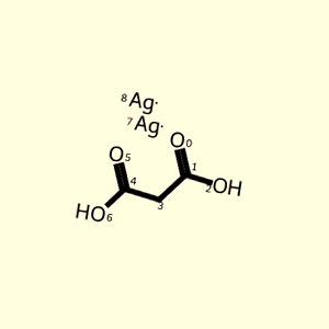 O=C(O)CC(=O)O.[Ag].[Ag]